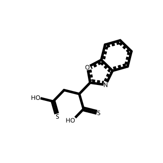 OC(=S)CC(C(O)=S)c1nc2ccccc2o1